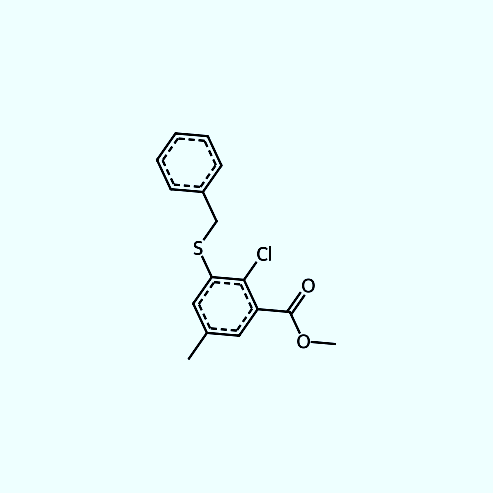 COC(=O)c1cc(C)cc(SCc2ccccc2)c1Cl